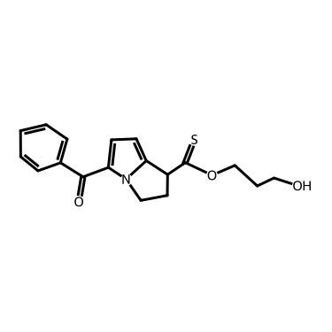 O=C(c1ccccc1)c1ccc2n1CCC2C(=S)OCCCO